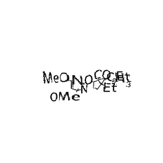 CCOC(=O)C12C(Oc3nc(OC)cc(OC)n3)CCC1(CC)C2C